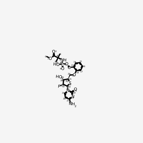 COC(=O)C(C)(C)NP(=O)(O)OOc1ccccc1OC[C@H]1S[C@@H](n2ccc(N)nc2=O)[C@@H](F)[C@@H]1O